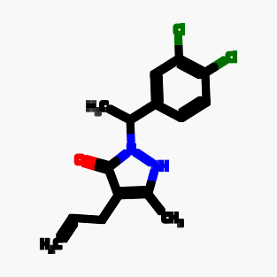 C=CCc1c(C)[nH]n(C(C)c2ccc(Cl)c(Cl)c2)c1=O